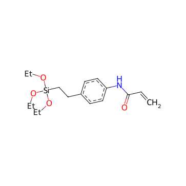 C=CC(=O)Nc1ccc(CC[Si](OCC)(OCC)OCC)cc1